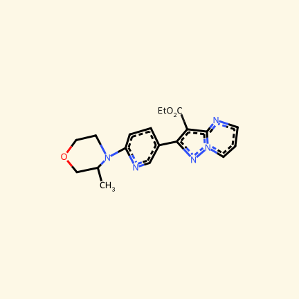 CCOC(=O)c1c(-c2ccc(N3CCOCC3C)nc2)nn2cccnc12